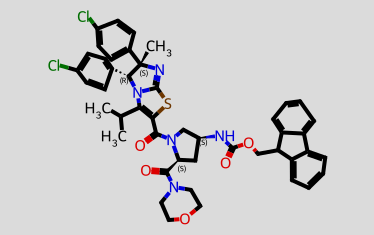 CC(C)C1=C(C(=O)N2C[C@@H](NC(=O)OCC3c4ccccc4-c4ccccc43)C[C@H]2C(=O)N2CCOCC2)SC2=N[C@@](C)(c3ccc(Cl)cc3)[C@@H](c3ccc(Cl)cc3)N21